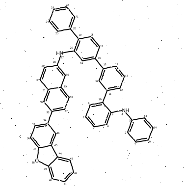 c1ccc(Nc2ccccc2-c2cccc(-c3ccc(-c4ccccc4)c(Nc4ccc5cc(-c6ccc7oc8ccccc8c7c6)ccc5c4)c3)c2)cc1